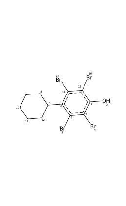 Oc1c(Br)c(Br)c(C2CCCCC2)c(Br)c1Br